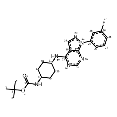 CC(C)(C)OC(=O)N[C@H]1CC[C@@H](Nc2ncnc3c2cnn3-c2cccc(F)c2)CC1